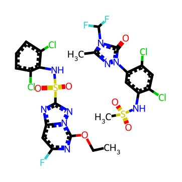 CCOc1nc(F)cc2nc(S(=O)(=O)Nc3c(Cl)cccc3Cl)nn12.Cc1nn(-c2cc(NS(C)(=O)=O)c(Cl)cc2Cl)c(=O)n1C(F)F